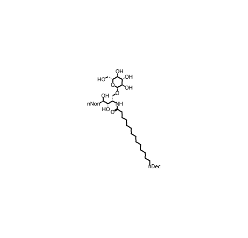 CCCCCCCCCCCCCCCCCCCCCCCC(=O)N[C@@H](CO[C@H]1O[C@H](CO)[C@@H](O)[C@H](O)[C@H]1O)[C@H](O)[C@H](O)CCCCCCCCC